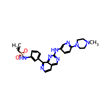 C=CS(=O)(=O)Nc1cccc(-c2nccc3cnc(Nc4ccc(N5CCN(C)CC5)nc4)nc23)c1